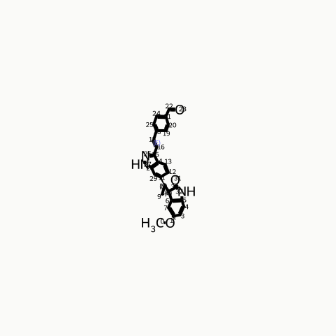 COc1ccc2c(c1)[C@]1(C[C@H]1c1ccc3c(/C=C/c4ccc(C=O)cc4)n[nH]c3c1)C(=O)N2